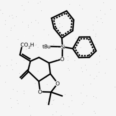 C=C1C(=CC(=O)O)CC(O[Si](c2ccccc2)(c2ccccc2)C(C)(C)C)C2OC(C)(C)OC12